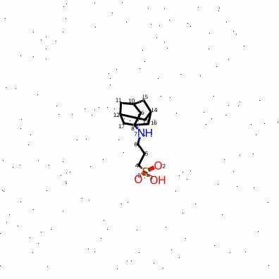 O=S(=O)(O)CCCNC12CC3CC(CC(C3)C1)C2